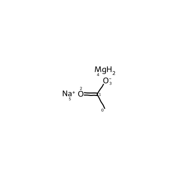 CC(=O)[O-].[MgH2].[Na+]